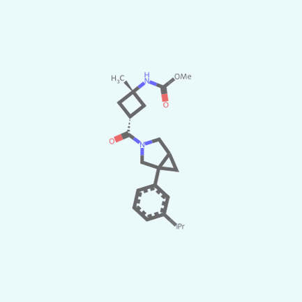 COC(=O)N[C@]1(C)C[C@H](C(=O)N2CC3CC3(c3cccc(C(C)C)c3)C2)C1